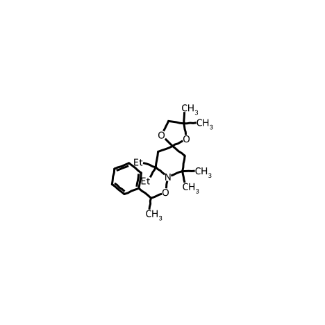 CCC1(CC)CC2(CC(C)(C)N1OC(C)c1ccccc1)OCC(C)(C)O2